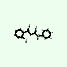 O=C(CC(=O)c1ccccc1Cl)Nc1ccccc1